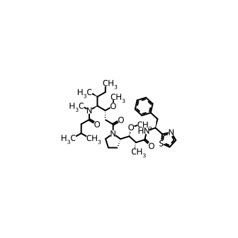 CC[C@H](C)[C@@H]([C@@H](CC(=O)N1CCC[C@H]1[C@H](OC)[C@@H](C)C(=O)N[C@@H](Cc1ccccc1)c1nccs1)OC)N(C)C(=O)CC(C)C